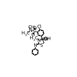 Br.CN1C(=Nc2ccccc2)SCC1(O)c1ccc(Cl)c(S(=O)(=O)N(C)C)c1